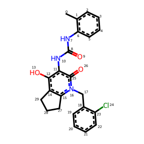 Cc1ccccc1NC(=O)Nc1c(O)c2c(n(Cc3ccccc3Cl)c1=O)CCC2